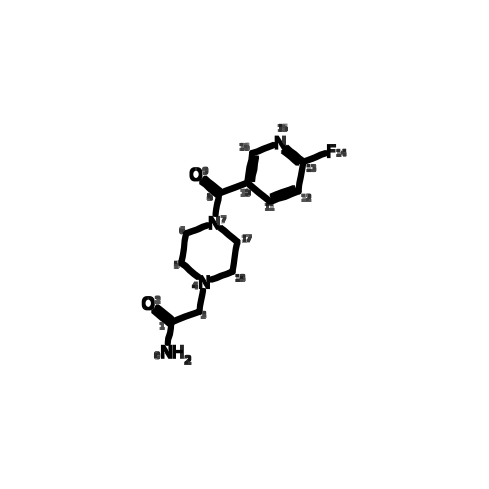 NC(=O)CN1CCN(C(=O)c2ccc(F)nc2)CC1